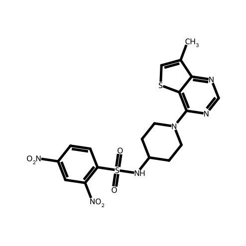 Cc1csc2c(N3CCC(NS(=O)(=O)c4ccc([N+](=O)[O-])cc4[N+](=O)[O-])CC3)ncnc12